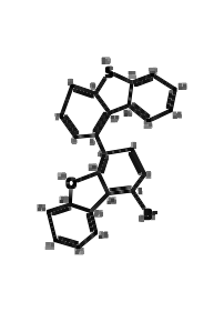 Brc1ccc(-c2cccc3sc4ccccc4c23)c2oc3ccccc3c12